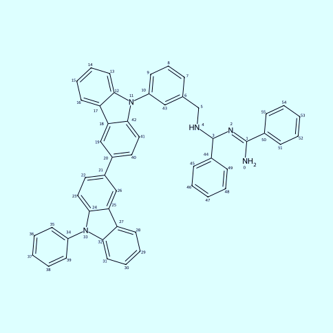 N/C(=N\C(NCc1cccc(-n2c3ccccc3c3cc(-c4ccc5c(c4)c4ccccc4n5-c4ccccc4)ccc32)c1)c1ccccc1)c1ccccc1